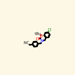 CC(C)(C)OC(=O)N(Cc1ccc(Cl)cc1)Cc1ccc(CC#N)cc1